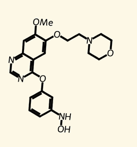 COc1cc2ncnc(Oc3cccc(NO)c3)c2cc1OCCN1CCOCC1